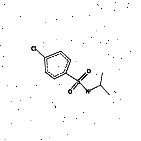 CC(C)[N]S(=O)(=O)c1ccc(Cl)cc1